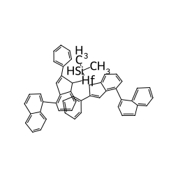 C[SiH](C)[Hf]([CH]1C(c2ccccc2)=Cc2c(-c3cccc4ccccc34)cccc21)[CH]1C(c2ccccc2)=Cc2c(-c3cccc4ccccc34)cccc21